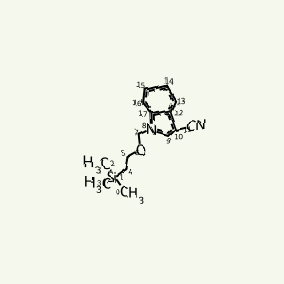 C[Si](C)(C)CCOCn1cc(C#N)c2ccccc21